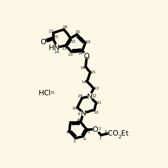 CCOC(=O)COc1ccccc1N1CCN(CCCCOc2ccc3c(c2)NC(=O)CC3)CC1.Cl